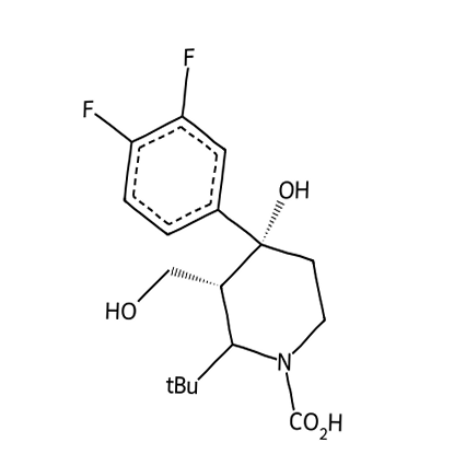 CC(C)(C)C1[C@H](CO)[C@@](O)(c2ccc(F)c(F)c2)CCN1C(=O)O